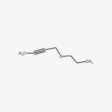 CC#CCOCCC